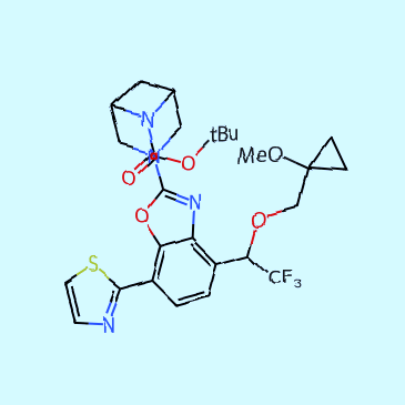 COC1(COC(c2ccc(-c3nccs3)c3oc(N4CC5CC(C4)N5C(=O)OC(C)(C)C)nc23)C(F)(F)F)CC1